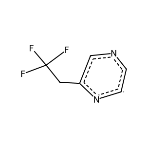 FC(F)(F)Cc1cnc[c]n1